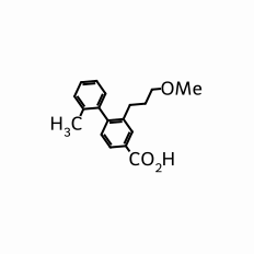 COCCCc1cc(C(=O)O)ccc1-c1ccccc1C